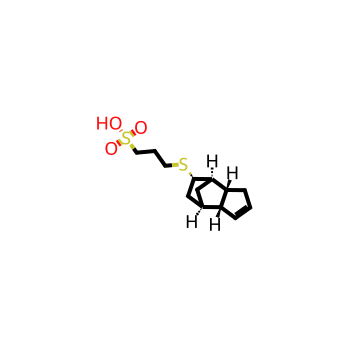 O=S(=O)(O)CCCS[C@H]1C[C@H]2C[C@@H]1[C@@H]1CC=C[C@H]21